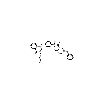 CCCCc1cn(Cc2ccc(S(=O)(=O)N(C)C(COCc3ccccc3)C(=O)O)cc2)c2ccccc2c1=S